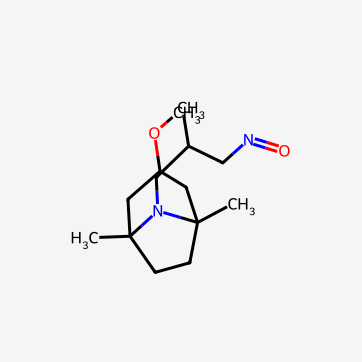 COC1CC2(C)CCC(C)(C1)N2CC(C)CN=O